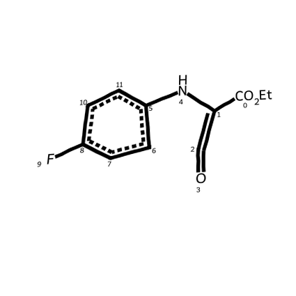 CCOC(=O)C(=C=O)Nc1ccc(F)cc1